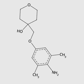 Cc1cc(OCC2(O)CCOCC2)cc(C)c1N